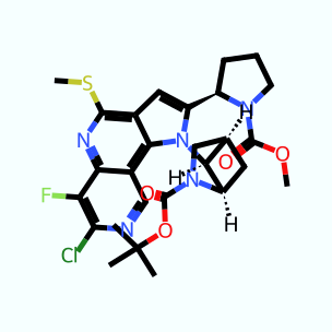 COC(=O)N1CCC[C@@H]1c1cc2c(SC)nc3c(F)c(Cl)ncc3c2n1[C@H]1[C@@H]2C[C@H]1N(C(=O)OC(C)(C)C)C2